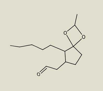 CCCCCC1C(CC=O)CCC12OC(C)O2